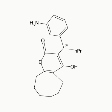 CCC[C@@H](c1cccc(N)c1)c1c(O)c2c(oc1=O)CCCCCC2